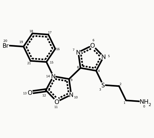 NCCSc1nonc1-c1noc(=O)n1-c1cccc(Br)c1